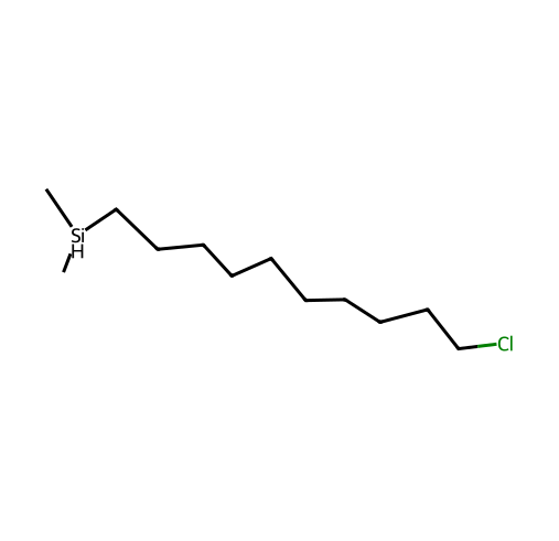 C[SiH](C)CCCCCCCCCCCl